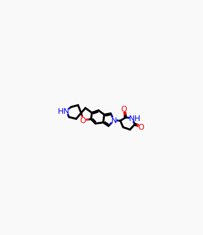 O=C1CCC(n2cc3cc4c(cc3c2)OC2(CCNCC2)C4)C(=O)N1